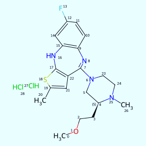 COCC[C@H]1CN(C2=Nc3ccc(F)cc3Nc3sc(C)cc32)CCN1C.Cl.Cl